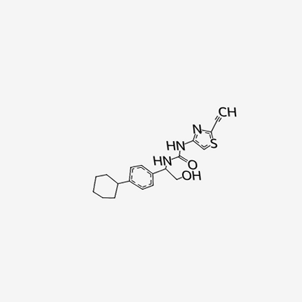 C#Cc1nc(NC(=O)NC(CO)c2ccc(C3CCCCC3)cc2)cs1